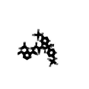 COc1ccnc(C(=O)N[C@@H](C)C(=O)N[C@@H](C)C(O)(c2ccc(OC(F)(F)F)cc2)c2ccc(OC(F)(F)F)cc2)c1OC(C)=O